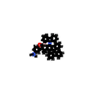 CN(C)c1ccc2oc3c(c2c1)C(C)(C)c1cc([Si](c2ccccc2)(c2ccccc2)c2ccccc2)cc2c1B3c1cccc3c1N2C1CCCCC31